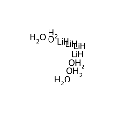 O.O.O.O.O.[LiH].[LiH].[LiH].[LiH]